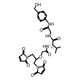 CC(C)[C@H](NC(=O)COC(CN1C(=O)C=CC1=O)CN1C(=O)C=CC1=O)C(=O)NCC(=O)Nc1ccc(CO)cc1